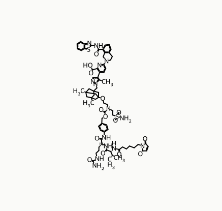 Cc1c(-c2ccc(N3CCc4cccc(C(=O)Nc5nc6ccccc6s5)c4C3)nc2C(=O)O)cnn1CC12CC3(C)CC(C)(C1)CC(OCCN(CCS(N)(=O)=O)C(=O)OCc1ccc(NC(=O)[C@H](CCCNC(N)=O)NC(=O)C(NC(=O)CCCCCN4C(=O)C=CC4=O)C(C)C)cc1)(C3)C2